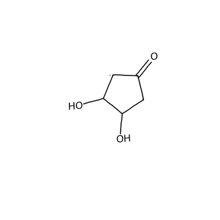 O=C1[CH]C(O)C(O)C1